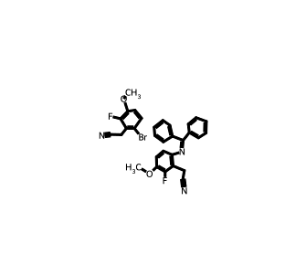 COc1ccc(Br)c(CC#N)c1F.COc1ccc(N=C(c2ccccc2)c2ccccc2)c(CC#N)c1F